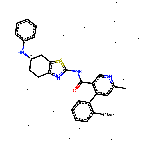 COc1ccccc1-c1cc(C)ncc1C(=O)Nc1nc2c(s1)C[C@H](Nc1ccccc1)CC2